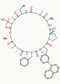 CCC(C)C1NC(=O)[C@@H]2CCCN2C(=O)C(Cc2cccc(-c3cccc4ccccc34)c2)N(C)C(=O)C(Cc2ccccc2)NC(=O)[C@H](C)N(C)C(=O)C([C@H](C)CC)OC(=O)C(C(C)(C)O)N(C)C(=O)C(CC(C)C)NC(=O)[C@H](C)N(C)C1=O